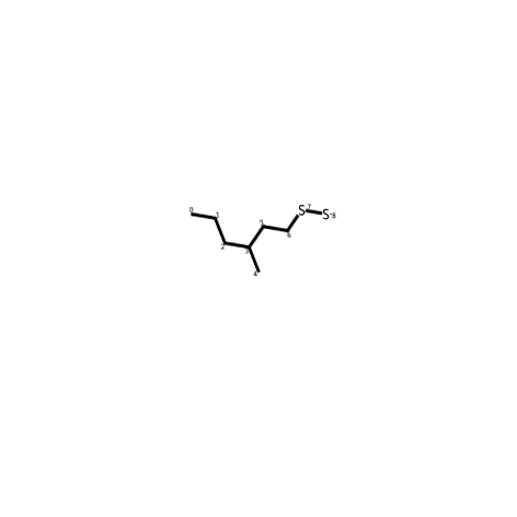 CCCC(C)CCS[S]